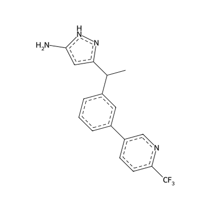 CC(c1cccc(-c2ccc(C(F)(F)F)nc2)c1)c1cc(N)[nH]n1